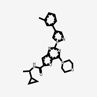 Cc1cccc(-c2cnn(-c3nc(N4CCOCC4)c4oc(C(=O)NC(C)C5CC5)cc4n3)c2)c1